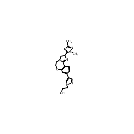 Cc1nc(C2CN3CCOc4cc(-c5cnn(CCO)c5)ccc4C3=N2)n(C)n1